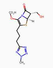 Cn1nnc(CCCC2=C(OC(=O)O)N3C(=O)[C@H](CO)[C@H]3S2)n1